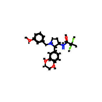 COc1cccc(CN2CCC(NC(=O)C(C)(F)F)C2c2ccc3c(c2)OCCO3)c1